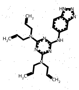 C=CCN(CC=C)c1nc(Nc2ccc3[nH]nnc3c2)nc(N(CC=C)CC=C)n1